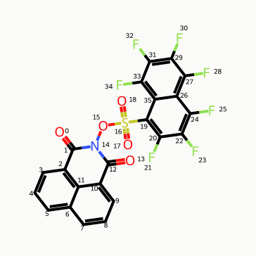 O=C1c2cccc3cccc(c23)C(=O)N1OS(=O)(=O)c1c(F)c(F)c(F)c2c(F)c(F)c(F)c(F)c12